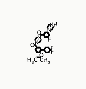 CC[C@@H](C)Oc1ccc(C(=O)N2CCN(C(=O)c3cc(F)cc(N4CCNCC4)c3)CC2)cc1C1CCC(F)(F)CC1